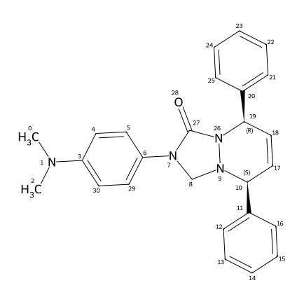 CN(C)c1ccc(N2CN3[C@H](c4ccccc4)C=C[C@H](c4ccccc4)N3C2=O)cc1